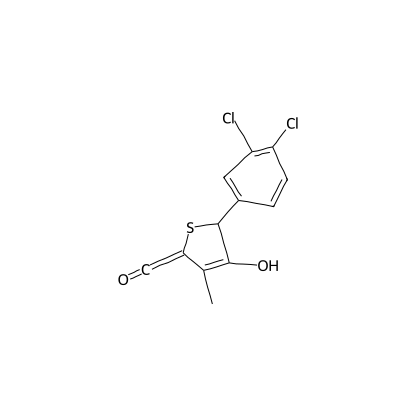 CC1=C(O)C(c2ccc(Cl)c(Cl)c2)SC1=C=O